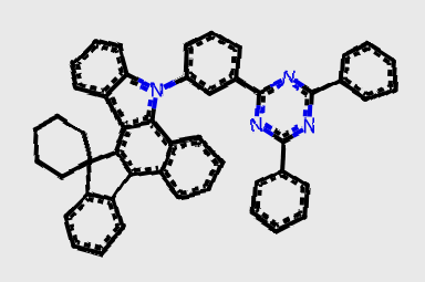 c1ccc(-c2nc(-c3ccccc3)nc(-c3cccc(-n4c5ccccc5c5c6c(c7ccccc7c54)-c4ccccc4C64CCCCC4)c3)n2)cc1